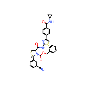 N#Cc1cccc([C@H]2SCC(C(=O)Nc3nc(-c4ccc(C(=O)NC5CC5)cc4)cs3)N2C(=O)OCc2ccccc2)c1